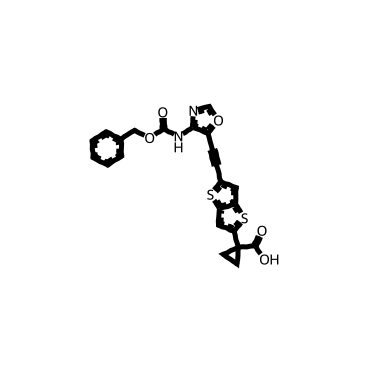 O=C(Nc1ncoc1C#Cc1cc2sc(C3(C(=O)O)CC3)cc2s1)OCc1ccccc1